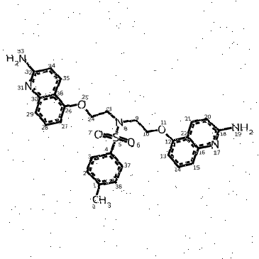 Cc1ccc(S(=O)(=O)N(CCOc2cccc3nc(N)ccc23)CCOc2cccc3nc(N)ccc23)cc1